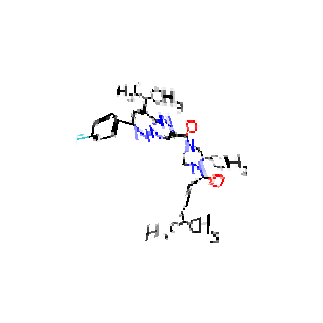 CC(C)CCCC(=O)N1CCN(C(=O)c2cn3nc(-c4ccc(F)cc4)cc(C(C)C)c3n2)C[C@@H]1C